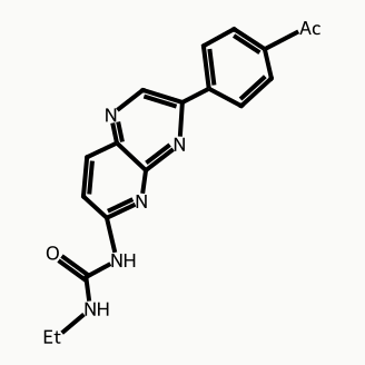 CCNC(=O)Nc1ccc2ncc(-c3ccc(C(C)=O)cc3)nc2n1